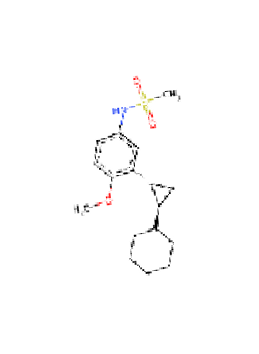 COc1ccc(NS(C)(=O)=O)cc1[C@@H]1C[C@H]1C1CCCCC1